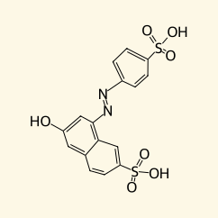 O=S(=O)(O)c1ccc(N=Nc2cc(O)cc3ccc(S(=O)(=O)O)cc23)cc1